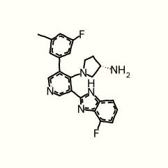 Cc1cc(F)cc(-c2cncc(-c3nc4c(F)cccc4[nH]3)c2N2CC[C@H](N)C2)c1